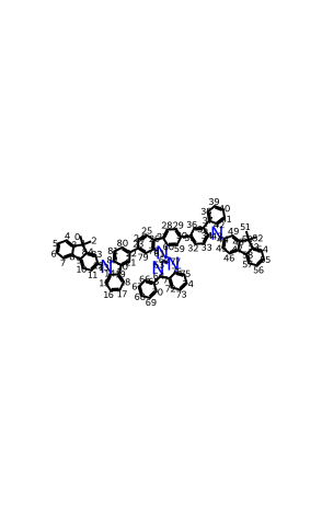 CC1(C)c2ccccc2-c2ccc(-n3c4ccccc4c4cc(-c5ccc6c7ccc(-c8ccc9c(c8)c8ccccc8n9-c8ccc9c(c8)C(C)(C)c8ccccc8-9)cc7n(-c7nc(-c8ccccc8)c8ccccc8n7)c6c5)ccc43)cc21